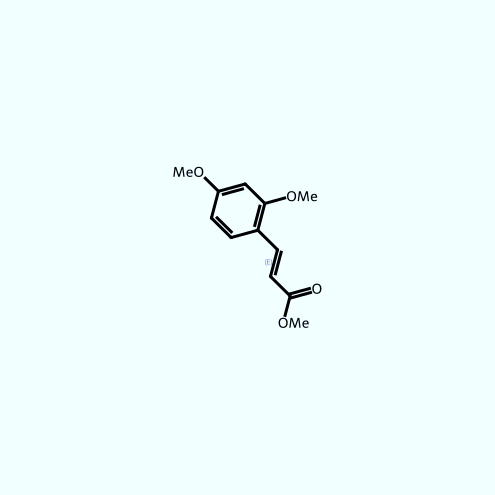 COC(=O)/C=C/c1ccc(OC)cc1OC